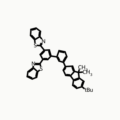 CC(C)(C)c1ccc2c(c1)C(C)(C)c1cc(-c3cccc(-c4cc(-c5nc6ccccc6s5)cc(-c5nc6ccccc6s5)c4)c3)ccc1-2